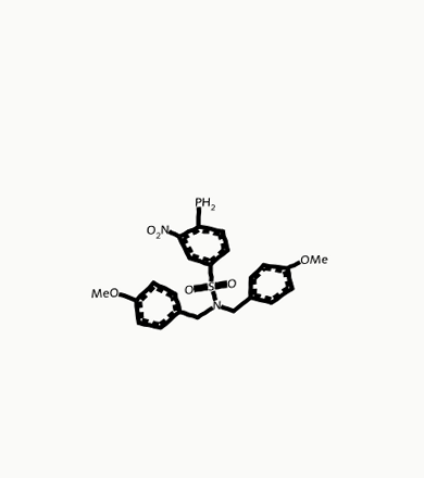 COc1ccc(CN(Cc2ccc(OC)cc2)S(=O)(=O)c2ccc(P)c([N+](=O)[O-])c2)cc1